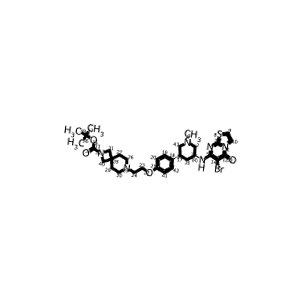 CN1C[C@H](Nc2nc3sccn3c(=O)c2Br)C[C@H](c2ccc(OCCN3CCC4(CC3)CN(C(=O)OC(C)(C)C)C4)cc2)C1